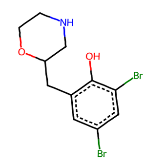 Oc1c(Br)cc(Br)cc1CC1CNCCO1